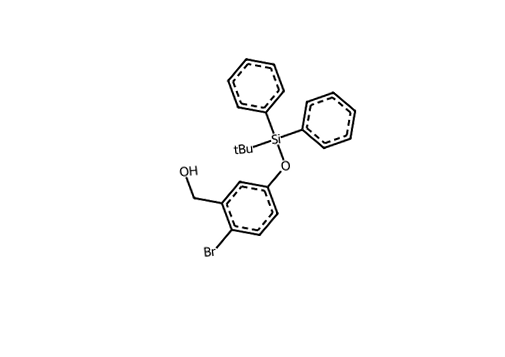 CC(C)(C)[Si](Oc1ccc(Br)c(CO)c1)(c1ccccc1)c1ccccc1